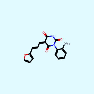 COc1ccccc1N1C(=O)NC(=O)C(=CC=Cc2ccco2)C1=O